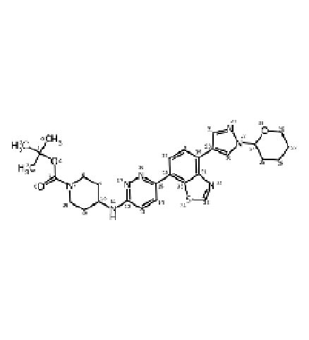 CC(C)(C)OC(=O)N1CCC(Nc2ccc(-c3ccc(-c4cnn(C5CCCCO5)c4)c4ncsc34)nn2)CC1